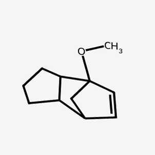 COC12C=CC(C1)C1CCCC12